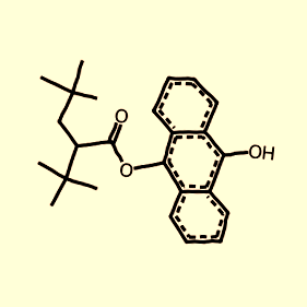 CC(C)(C)CC(C(=O)Oc1c2ccccc2c(O)c2ccccc12)C(C)(C)C